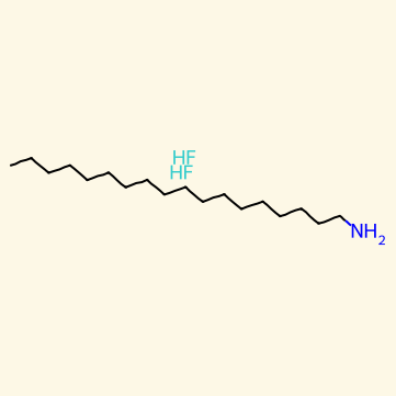 CCCCCCCCCCCCCCCCCCN.F.F